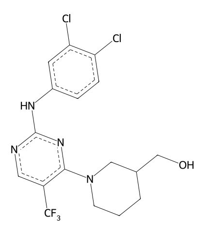 OCC1CCCN(c2nc(Nc3ccc(Cl)c(Cl)c3)ncc2C(F)(F)F)C1